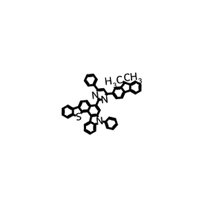 CC1(C)c2ccccc2-c2ccc(-c3cc(-c4ccccc4)nc(-c4cc5c(c6ccccc6n5-c5ccccc5)c5c4ccc4c6ccccc6sc45)n3)cc21